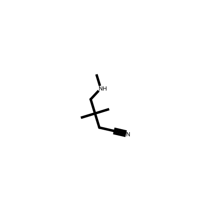 CNCC(C)(C)CC#N